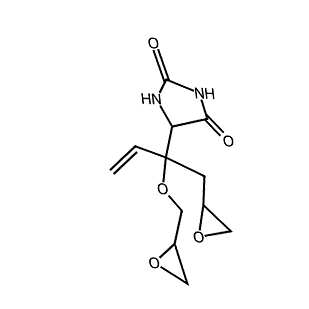 C=CC(CC1CO1)(OCC1CO1)C1NC(=O)NC1=O